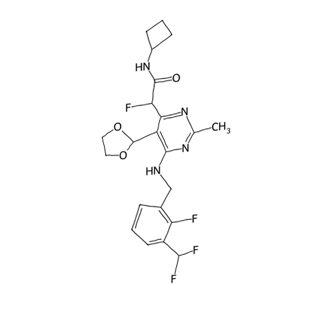 Cc1nc(NCc2cccc(C(F)F)c2F)c(C2OCCO2)c(C(F)C(=O)NC2CCC2)n1